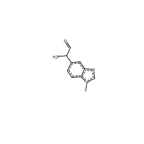 Cn1cnc2cc(C(N)C=O)ccc21